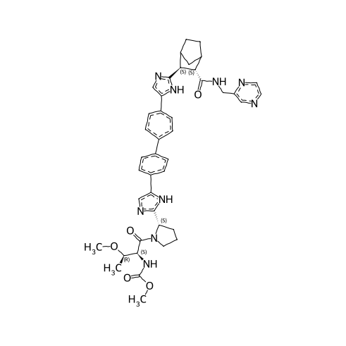 COC(=O)N[C@H](C(=O)N1CCC[C@H]1c1ncc(-c2ccc(-c3ccc(-c4cnc([C@H]5C6CCC(C6)[C@@H]5C(=O)NCc5cnccn5)[nH]4)cc3)cc2)[nH]1)[C@@H](C)OC